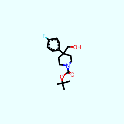 CC(C)(C)OC(=O)N1CCC(CO)(c2ccc(F)cc2)CC1